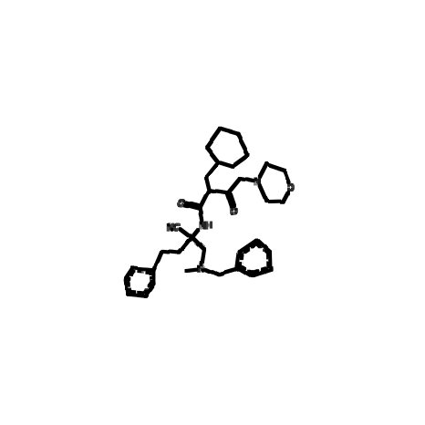 CN(Cc1ccccc1)CC(C#N)(CCc1ccccc1)NC(=O)C(CC1CCCCC1)C(=O)CN1CCOCC1